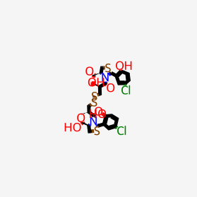 C[C@H](CSSC[C@@H](C)C(=O)N1C(c2cc(Cl)ccc2O)SC[C@H]1C(=O)O)C(=O)N1C(c2cc(Cl)ccc2O)SC[C@H]1C(=O)O